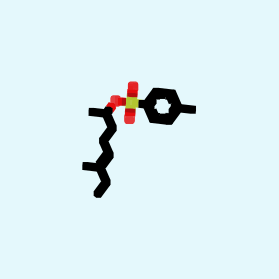 CC/C(C)=C/CCC(C)OS(=O)(=O)c1ccc(C)cc1